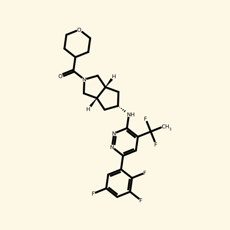 CC(F)(F)c1cc(-c2cc(F)cc(F)c2F)nnc1N[C@@H]1C[C@@H]2CN(C(=O)C3CCOCC3)C[C@@H]2C1